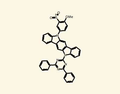 COc1ccc(-n2c3ccccc3c3cc4c(cc32)c2ccccc2n4-c2nc(-c3ccccc3)nc(-c3ccccc3)n2)cc1[SH](=O)=O